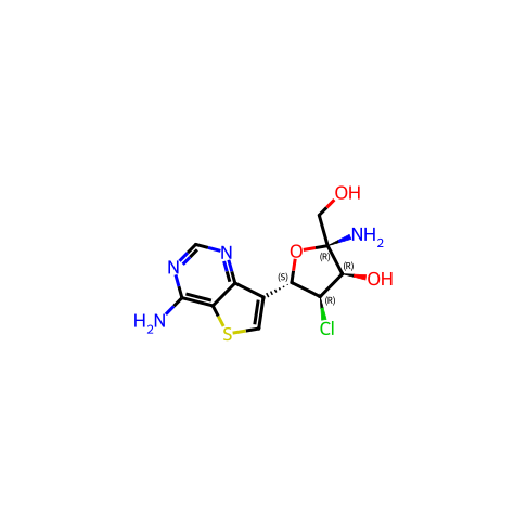 Nc1ncnc2c([C@@H]3O[C@](N)(CO)[C@@H](O)[C@H]3Cl)csc12